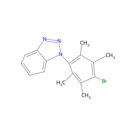 Cc1c(C)c(-n2nnc3ccccc32)c(C)c(C)c1Br